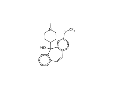 CN1CCC(C2(O)c3ccccc3C=Cc3ccc(SC(F)(F)F)cc32)CC1